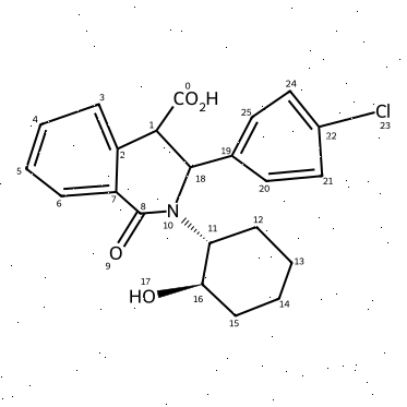 O=C(O)C1c2ccccc2C(=O)N([C@@H]2CCCC[C@H]2O)C1c1ccc(Cl)cc1